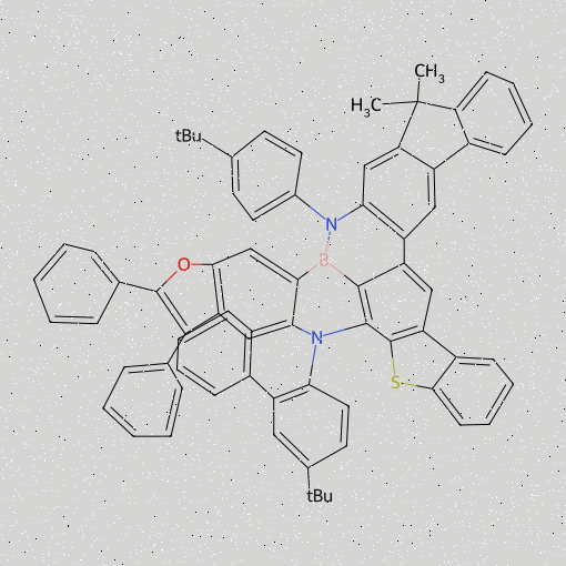 CC(C)(C)c1ccc(N2B3c4cc5oc(-c6ccccc6)c(-c6ccccc6)c5cc4N(c4ccc(C(C)(C)C)cc4-c4ccccc4)c4c3c(cc3c4sc4ccccc43)-c3cc4c(cc32)C(C)(C)c2ccccc2-4)cc1